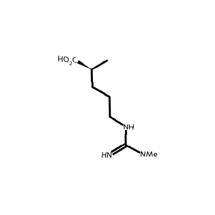 CNC(=N)NCCC[C@H](C)C(=O)O